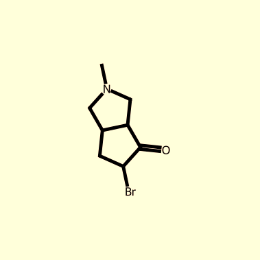 CN1CC2CC(Br)C(=O)C2C1